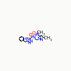 Cc1cc2n(n1)CCN(C(=O)c1nnc(Cc3ccccc3)[nH]1)C(=O)N2C